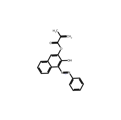 C=C(C)C(=O)Oc1cc2ccccc2c(/N=N/c2ccccc2)c1O